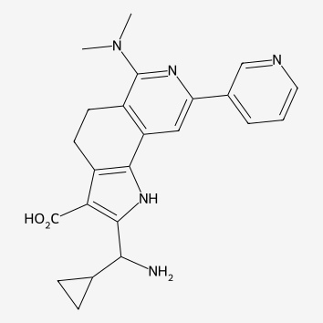 CN(C)c1nc(-c2cccnc2)cc2c1CCc1c-2[nH]c(C(N)C2CC2)c1C(=O)O